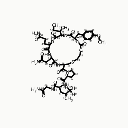 [2H]C([2H])([2H])C(C)CC(NC(=O)C1CCCN1C(=O)C1CSCCCC(=O)NC(Cc2ccc(OC)cc2)C(=O)NC(C(C)CC)C(=O)NC(CCC(N)=O)C(=O)NC(CC(N)=O)C(=O)N1)C(=O)NCC(N)=O